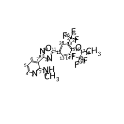 CNc1ncccc1-c1noc(-c2ccc(OC(C)C(F)(F)F)c(C(F)(F)F)c2)n1